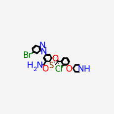 C[C@@H](OC1C=C(n2cnc3ccc(Br)cc32)C=C(C(N)=O)C1=S)c1cccc(OC2CCNCC2)c1Cl